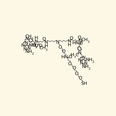 COC(=O)C(CCC(=O)NCCCCCN(CCCCCNC(=O)CCC(NC(=O)c1ccc(N(C)Cc2cnc3nc(N)nc(N)c3n2)cc1)C(=O)OC)CCOCCOCCNC(=O)CCOCCOCCOCCOCCS)NC(=O)c1ccc(N(C)Cc2cnc3nc(N)nc(N)c3n2)cc1